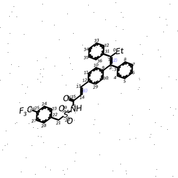 CC/C(=C(\c1ccccc1)c1ccc(/C=C/C(=O)NS(=O)(=O)Cc2ccc(C(F)(F)F)cc2)cc1)c1ccccc1